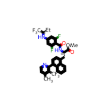 CC[C@@H](Nc1cc(F)c(C(=O)N[C@@H](Cc2ccc(-c3nccc(C)c3C(F)(F)F)c3ccccc23)C(=O)OC)c(F)c1)C(F)(F)F